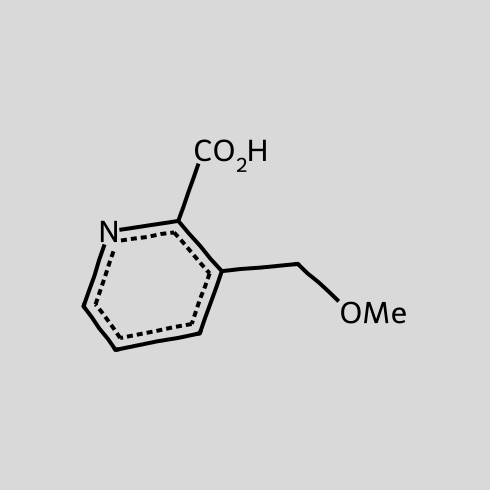 COCc1cccnc1C(=O)O